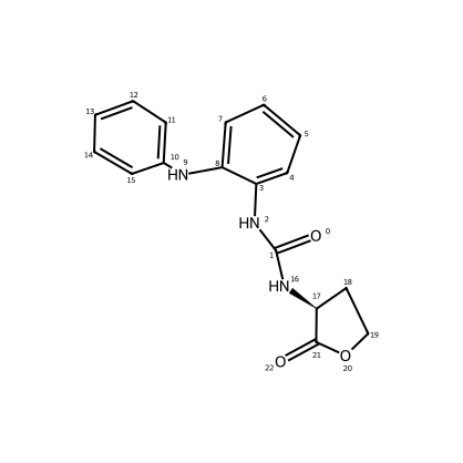 O=C(Nc1ccccc1Nc1ccccc1)N[C@H]1CCOC1=O